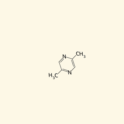 Cc1cnc(C)cn1